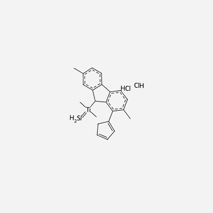 Cc1ccc2c(c1)[CH]([Ti]([CH3])([CH3])=[SiH2])c1c-2ccc(C)c1C1=CC=CC1.Cl.Cl